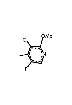 COc1ncc(F)c(C)c1Cl